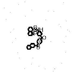 O=C(c1ccc(NS(=O)(=O)c2cccc3cccnc23)cc1)N1CCN(C(=O)c2ccc3ccccc3c2)CC1